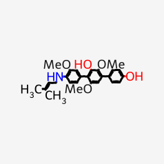 COc1cc(-c2c(OC)cc(-c3ccc(O)cc3)c(OC)c2O)ccc1NCC=C(C)C